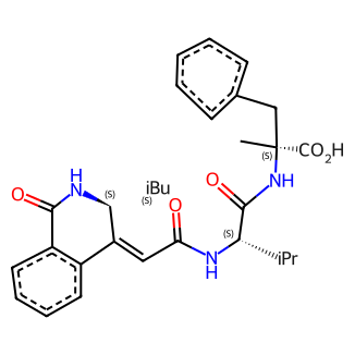 CC[C@H](C)[C@@H]1NC(=O)c2ccccc2C1=CC(=O)N[C@H](C(=O)N[C@@](C)(Cc1ccccc1)C(=O)O)C(C)C